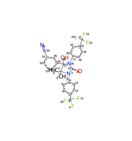 CC1(C)N(c2ccc(C(F)(F)F)cc2)C(=O)N(c2ccc(C(F)(F)F)cc2)C1(O)c1cccc(C#N)c1